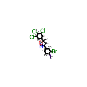 CC1(c2cc(Cl)c(Cl)c(Cl)c2)CC(c2ccc(I)c(Br)c2)=NO1